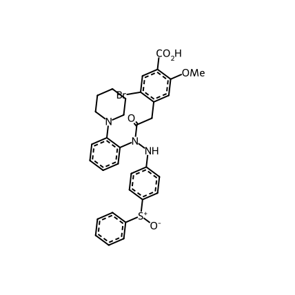 COc1cc(CC(=O)N(Nc2ccc([S+]([O-])c3ccccc3)cc2)c2ccccc2N2CCCCC2)c(Br)cc1C(=O)O